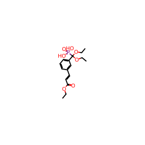 CCOC(=O)/C=C/c1cccc(C(OCC)(OCC)P(=O)(O)O)c1